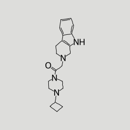 O=C(CN1CCc2c([nH]c3ccccc23)C1)N1CCN(C2CCC2)CC1